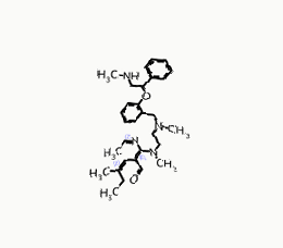 C\C=N/C(=C(C=O)\C=C(\C)CC)N(C)CCN(C)Cc1ccccc1OC(CNC)c1ccccc1